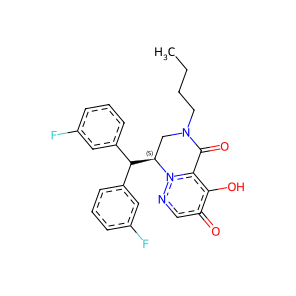 CCCCN1C[C@H](C(c2cccc(F)c2)c2cccc(F)c2)n2ncc(=O)c(O)c2C1=O